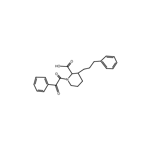 O=C(C(=O)N1CCCC(CCCc2ccccc2)C1C(=O)O)c1ccccc1